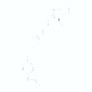 Cn1c(=O)oc2cc(CCCCNCCCCN3C(=O)C4CCCC4C3=O)ccc21